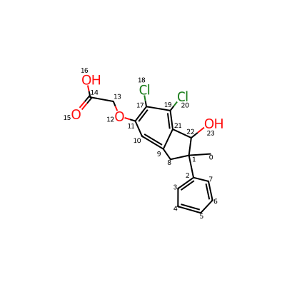 CC1(c2ccccc2)Cc2cc(OCC(=O)O)c(Cl)c(Cl)c2C1O